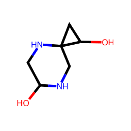 OC1CNC2(CN1)CC2O